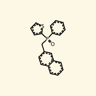 O=P(Cc1ccc2ccccc2c1)(c1ccccc1)c1cccs1